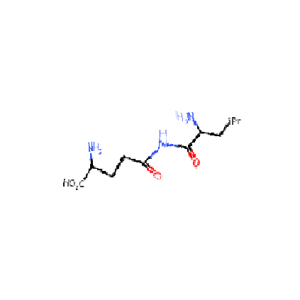 CC(C)CC(N)C(=O)NC(=O)CCC(N)C(=O)O